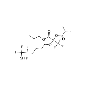 C=C(C)C(=O)OC(OCCCCC(F)(F)C(F)(F)S)(C(=O)OCCC)C(F)(F)F